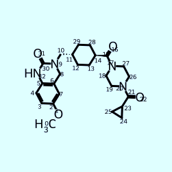 COc1ccc2c(c1)CN(C[C@H]1CC[C@H](C(=O)N3CCN(C(=O)C4CC4)CC3)CC1)C(=O)N2